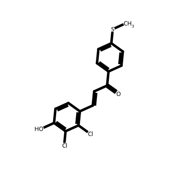 CSc1ccc(C(=O)C=Cc2ccc(O)c(Cl)c2Cl)cc1